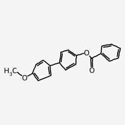 COc1ccc(-c2ccc(OC(=O)c3ccccc3)cc2)cc1